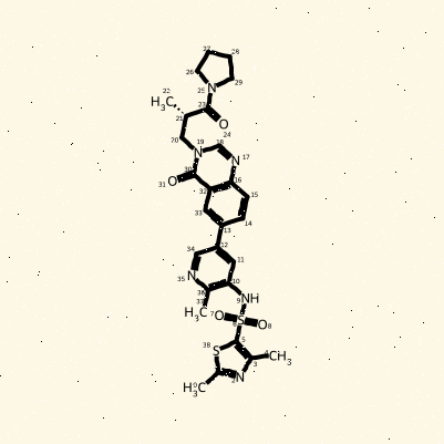 Cc1nc(C)c(S(=O)(=O)Nc2cc(-c3ccc4ncn(C[C@H](C)C(=O)N5CCCC5)c(=O)c4c3)cnc2C)s1